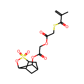 C=C(C)C(=O)SCC(=O)OCC(=O)OC1C2CC3C1OS(=O)(=O)C3C2